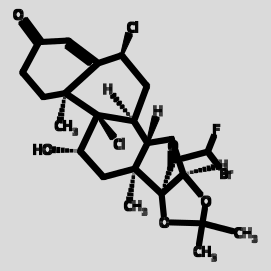 CC1(C)O[C@@H]2C[C@H]3[C@@H]4C[C@H](Cl)C5=CC(=O)CC[C@]5(C)[C@@]4(Cl)[C@@H](O)C[C@]3(C)[C@]2(C(=O)C(F)Br)O1